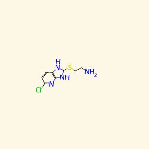 NCCSC1Nc2ccc(Cl)nc2N1